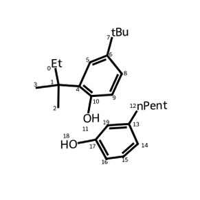 CCC(C)(C)c1cc(C(C)(C)C)ccc1O.CCCCCc1cccc(O)c1